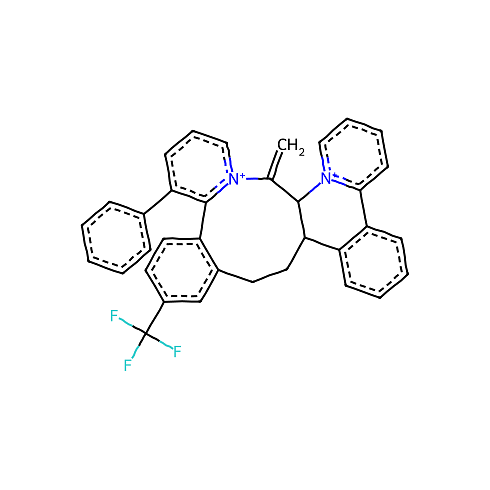 C=C1C2C(CCc3cc(C(F)(F)F)ccc3-c3c(-c4ccccc4)ccc[n+]31)c1ccccc1-c1cccc[n+]12